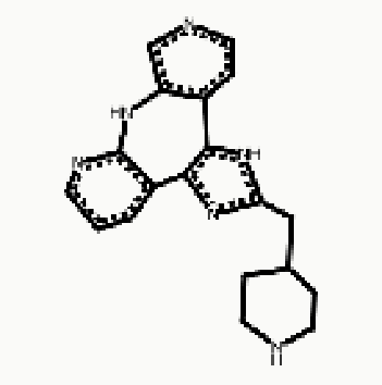 c1cnc2c(c1)-c1nc(CC3CCNCC3)[nH]c1-c1ccncc1N2